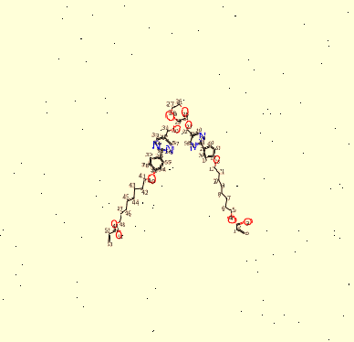 C=CC(=O)OCCCCCCCCOc1ccc(-c2ncc(CO[C@@H]3OCCO[C@H]3OCc3cnc(-c4ccc(OCCCCCCCCOC(=O)C=C)cc4)nc3)cn2)cc1